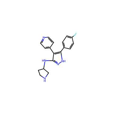 Fc1ccc(-c2[nH]nc(NC3CCNC3)c2-c2ccncc2)cc1